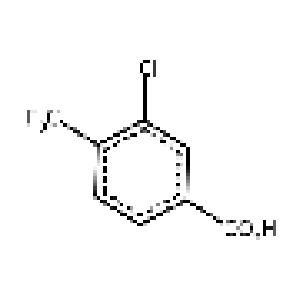 O=C(O)c1ccc(C(F)(F)F)c(Cl)c1